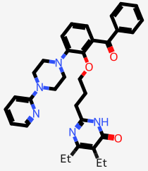 CCc1nc(CCCOc2c(C(=O)c3ccccc3)cccc2N2CCN(c3ccccn3)CC2)[nH]c(=O)c1CC